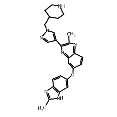 Cc1nc2ccc(Oc3ccc4nc(C)c(-c5cnn(CC6CCNCC6)c5)nc4c3)cc2[nH]1